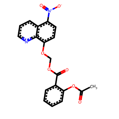 CC(=O)Oc1ccccc1C(=O)OCOc1ccc([N+](=O)[O-])c2cccnc12